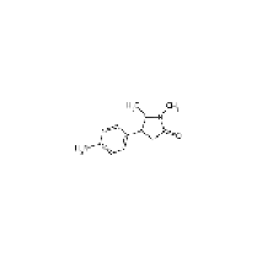 CC1C(c2ccc(N)cc2)CC(=O)N1C